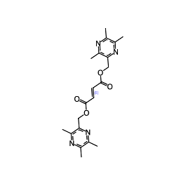 Cc1nc(C)c(COC(=O)/C=C/C(=O)OCc2nc(C)c(C)nc2C)nc1C